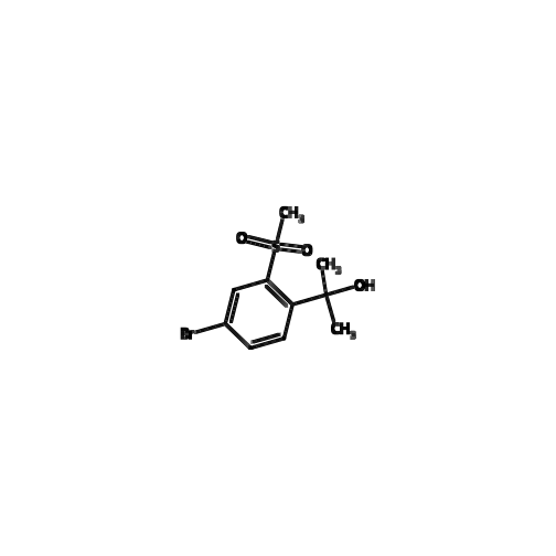 CC(C)(O)c1ccc(Br)cc1S(C)(=O)=O